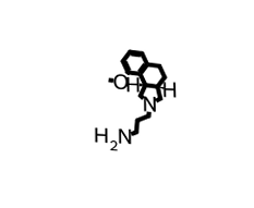 COc1cccc2c1[C@H]1CN(CCCN)C[C@@H]1CC2